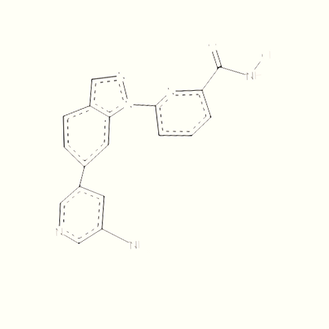 CNC(=O)c1cccc(-n2ncc3ccc(-c4cncc(N)c4)cc32)n1